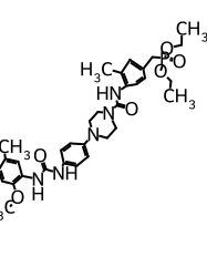 CCOP(=O)(Cc1ccc(NC(=O)N2CCN(c3ccc(NC(=O)Nc4cc(C)ccc4OC)cc3)CC2)c(C)c1)OCC